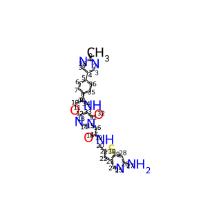 Cc1ncc(-c2ccc([C@@H]3COc4ncn(CC(=O)NCc5cc6cnc(N)cc6s5)c(=O)c4N3)cc2)cn1